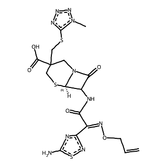 C=CCON=C(C(=O)NC1C(=O)N2CC(CSc3nnnn3C)(C(=O)O)CS[C@H]12)c1nsc(N)n1